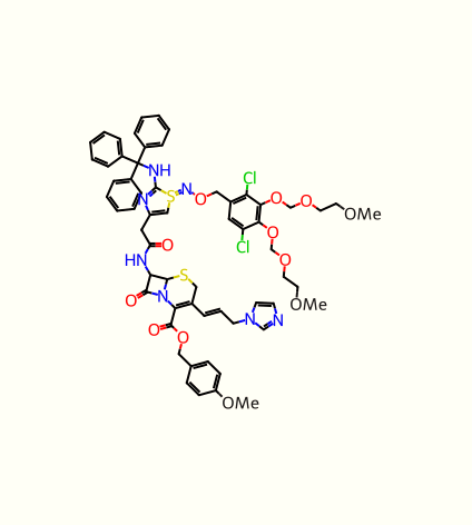 COCCOCOc1c(Cl)cc(CON=S2C=C(CC(=O)NC3C(=O)N4C(C(=O)OCc5ccc(OC)cc5)=C(C=CCn5ccnc5)CSC34)N=C2NC(c2ccccc2)(c2ccccc2)c2ccccc2)c(Cl)c1OCOCCOC